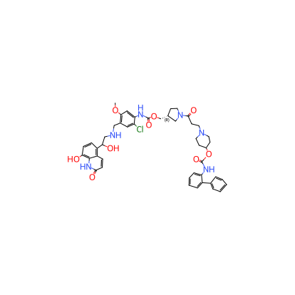 COc1cc(NC(=O)OC[C@@H]2CCN(C(=O)CCN3CCC(OC(=O)Nc4ccccc4-c4ccccc4)CC3)C2)c(Cl)cc1CNCC(O)c1ccc(O)c2[nH]c(=O)ccc12